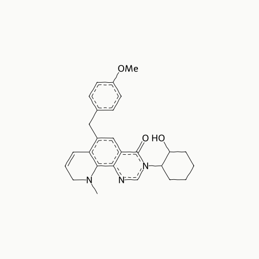 COc1ccc(Cc2cc3c(=O)n(C4CCCCC4O)cnc3c3c2C=CCN3C)cc1